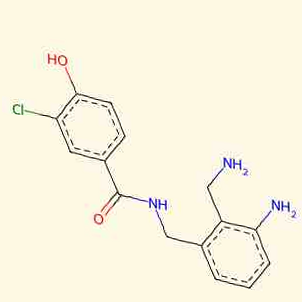 NCc1c(N)cccc1CNC(=O)c1ccc(O)c(Cl)c1